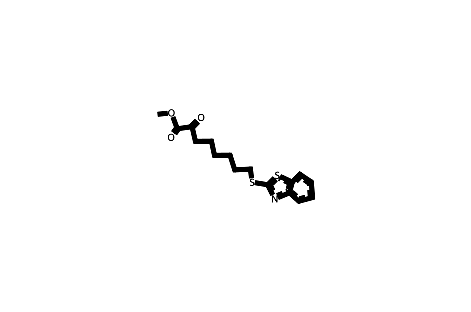 COC(=O)C(=O)CCCCCCSc1nc2ccccc2s1